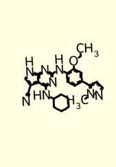 CCOc1cc(-c2ccnn2C)ccc1Nc1nc(NC2CCCCC2)c2c(C#N)c[nH]c2n1